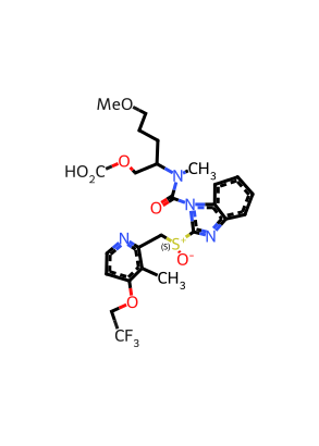 COCCCC(COC(=O)O)N(C)C(=O)n1c([S@+]([O-])Cc2nccc(OCC(F)(F)F)c2C)nc2ccccc21